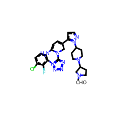 NC1=CC=C(c2ccnn2C2CCN(C3CCN(C=O)C3)CC2)CN1c1nnnn1-c1cccc(Cl)c1F